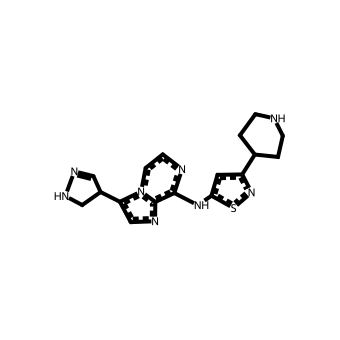 C1=NNCC1c1cnc2c(Nc3cc(C4CCNCC4)ns3)nccn12